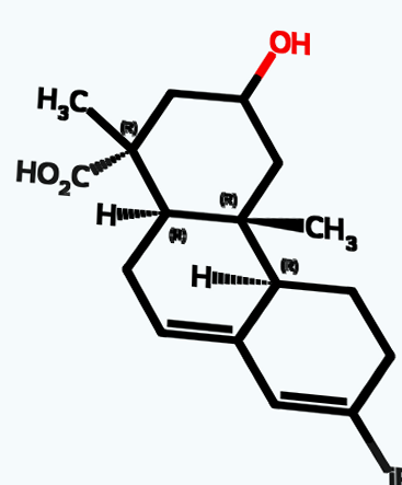 CC(C)C1=CC2=CC[C@@H]3[C@](C)(CC(O)C[C@@]3(C)C(=O)O)[C@H]2CC1